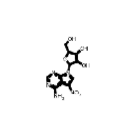 Nc1ncnc2c1c([N+](=O)[O-])cn2C1OC(CO)C(O)C1O